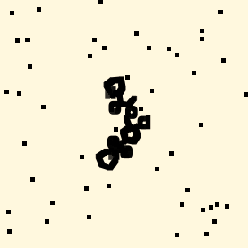 CC(OCc1cc(S(=O)(=O)N2CCCCC2)ccc1Cl)C(=O)c1ccccn1